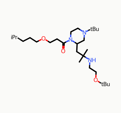 CC(C)CCCOCCC(=O)N1CCN(C(C)(C)C)CC1CC(C)(C)NCCOC(C)(C)C